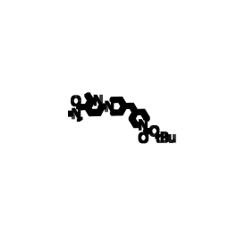 Cc1nc(N2CCC(CC3CCN(C(=O)OC(C)(C)C)CC3)CC2)ccc1C(=O)N(C)C